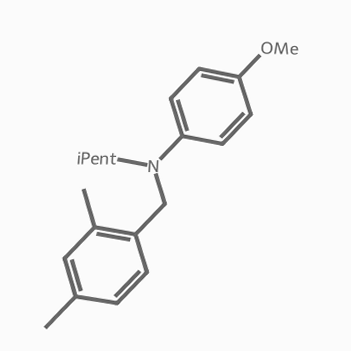 CCCC(C)N(Cc1ccc(C)cc1C)c1ccc(OC)cc1